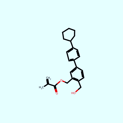 C=C(C)C(=O)OCc1cc(-c2ccc(C3CCCCC3)cc2)ccc1CO